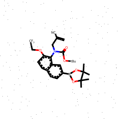 C=C(C#N)CN(C(=O)OC(C)(C)C)c1c(OCC(F)(F)F)ccc2ccc(B3OC(C)(C)C(C)(C)O3)cc12